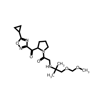 COCOCC(C)(C)NCC(=O)N1CCCC1C(=O)c1noc(C2CC2)n1